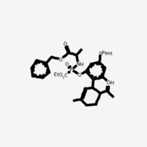 C=C(C)C1CCC(C)=CC1c1c(O)cc(CCCCC)cc1OP(=O)(NC(C)C(=O)OCc1ccccc1)C(=O)OCC